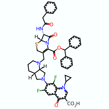 O=C(Cc1ccccc1)N[C@@H]1C(=O)N2C(C(=O)OC(c3ccccc3)c3ccccc3)=C(CN3CCC[C@H]4CN(c5c(F)cc6c(=O)c(C(=O)O)cn(C7CC7)c6c5F)C[C@H]43)CS[C@H]12